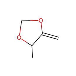 C=C1OCOC1C